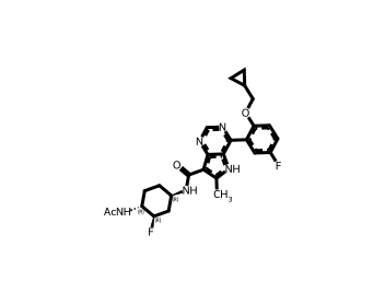 CC(=O)N[C@@H]1CC[C@@H](NC(=O)c2c(C)[nH]c3c(-c4cc(F)ccc4OCC4CC4)ncnc23)C[C@H]1F